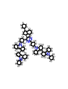 c1ccc(-c2ccc3c4c(cccc24)-c2nc(-c4ccc(-n5c6ccccc6c6c(-c7cccc8c7c7ccccc7n8-c7ccccc7)cccc65)cc4)nc(-c4cccc(-n5c6ccccc6c6c(-c7cccc8c7c7ccccc7n8-c7ccccc7)cccc65)c4)c2-3)cc1